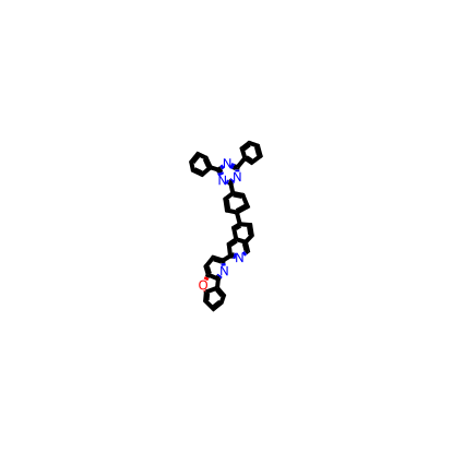 c1ccc(-c2nc(-c3ccccc3)nc(-c3ccc(-c4ccc5cnc(-c6ccc7oc8ccccc8c7n6)cc5c4)cc3)n2)cc1